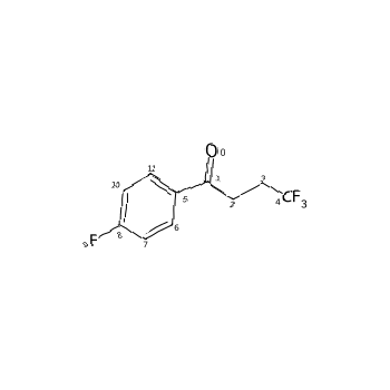 O=C(CCC(F)(F)F)c1ccc(F)cc1